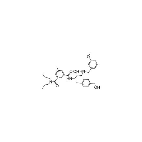 CCCN(CCC)C(=O)c1cc(C)cc(C(=O)N[C@@H](Cc2ccc(CO)cc2)[C@H](O)CNCc2cccc(OC)c2)c1